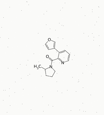 CC1CCCN1C(=O)c1ncccc1-c1ccoc1